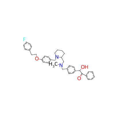 CN(Cc1ccc(C(O)C(=O)c2ccccc2)cc1)CC1CCCCN1Cc1ccc(OCCc2ccc(F)cc2)cc1